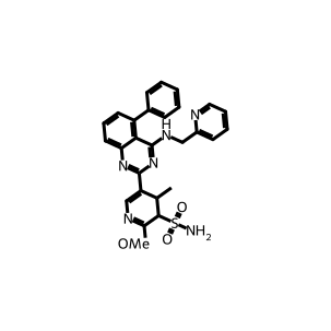 COC1=NC=C(c2nc(NCc3ccccn3)c3c(-c4ccccc4)cccc3n2)C(C)C1S(N)(=O)=O